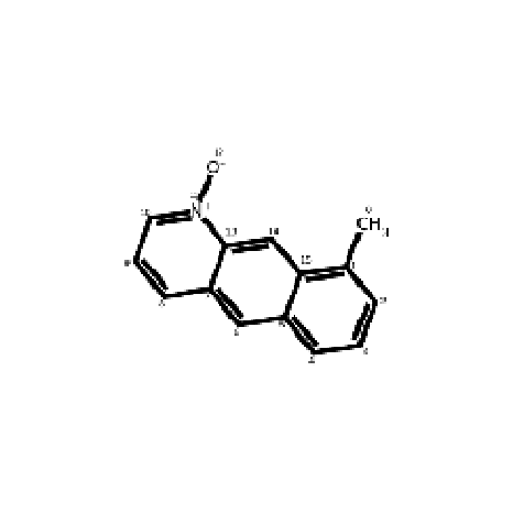 Cc1cccc2cc3ccc[n+]([O-])c3cc12